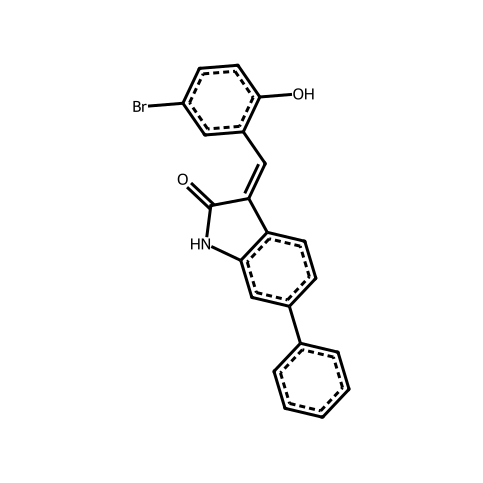 O=C1Nc2cc(-c3ccccc3)ccc2/C1=C/c1cc(Br)ccc1O